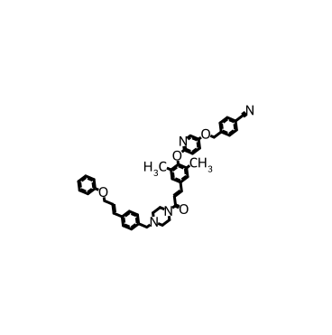 Cc1cc(C=CC(=O)N2CCN(Cc3ccc(C=CCOc4ccccc4)cc3)CC2)cc(C)c1Oc1ccc(OCc2ccc(C#N)cc2)cn1